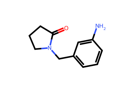 Nc1cccc(CN2CCCC2=O)c1